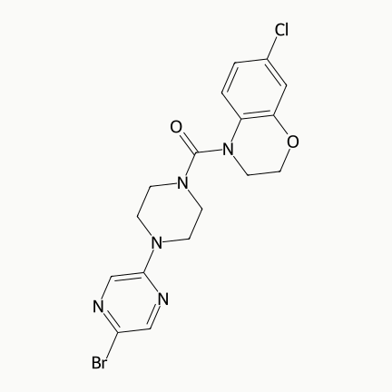 O=C(N1CCN(c2cnc(Br)cn2)CC1)N1CCOc2cc(Cl)ccc21